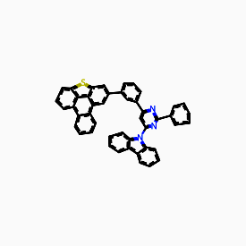 c1ccc(-c2nc(-c3cccc(-c4cc5sc6cccc7c8ccccc8c(c4)c5c67)c3)cc(-n3c4ccccc4c4ccccc43)n2)cc1